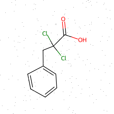 O=C(O)C(Cl)(Cl)Cc1ccccc1